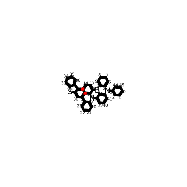 c1ccc(N2c3ccccc3B3c4ccccc4N(c4ccccc4-c4ccc5c(c4)sc4ccccc45)c4cccc2c43)cc1